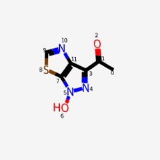 CC(=O)c1nn(O)c2scnc12